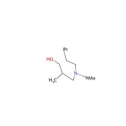 CNN(CCC(C)C)CC(C)CO